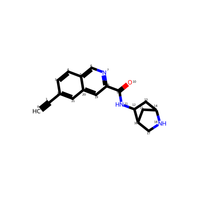 C#Cc1ccc2cnc(C(=O)NC3CC4CC3CN4)cc2c1